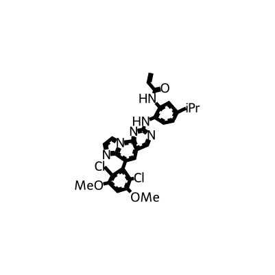 C=CC(=O)Nc1cc(C(C)C)ccc1Nc1ncc2cc(-c3c(Cl)c(OC)cc(OC)c3Cl)c3nccn3c2n1